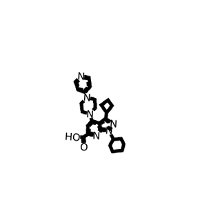 O=C(O)c1cc(N2CCN(c3ccncc3)CC2)c2c(C3CCC3)nn(C3CCCCC3)c2n1